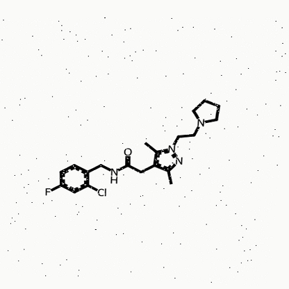 Cc1nn(CCN2CCCC2)c(C)c1CC(=O)NCc1ccc(F)cc1Cl